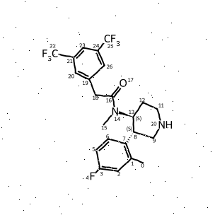 Cc1cc(F)ccc1[C@H]1CNCC[C@@H]1N(C)C(=O)Cc1cc(C(F)(F)F)cc(C(F)(F)F)c1